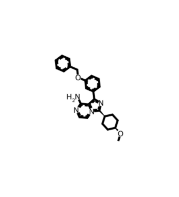 CO[C@H]1CC[C@@H](c2nc(-c3cccc(OCc4ccccc4)c3)c3c(N)nccn32)CC1